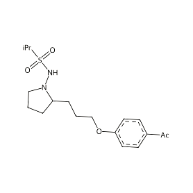 CC(=O)c1ccc(OCCCC2CCCN2NS(=O)(=O)C(C)C)cc1